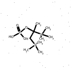 CC(C[Si](C)(C)C)(OP(=O)(O)O)[Si](C)(C)C